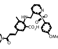 COc1ccc(S(=O)(=O)c2ncccc2CNc2c(C)cc(/C=C/C(=O)N(C)C)cc2C(=O)O)cc1